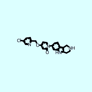 O=c1cc(OCc2ccc(Cl)cn2)ccn1-c1ccc2c3c([nH]c2c1)CCNC3